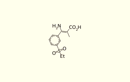 CCS(=O)(=O)c1cccc(C(N)=C(C)C(=O)O)c1